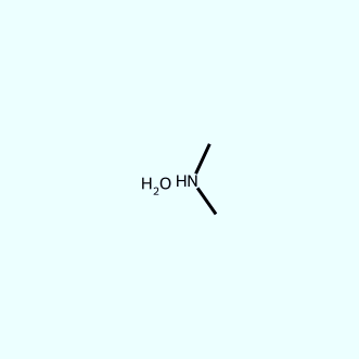 CNC.O